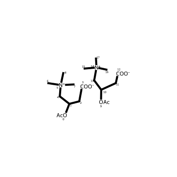 CC(=O)OC(CC(=O)[O-])C[N+](C)(C)C.CC(=O)OC(CC(=O)[O-])C[N+](C)(C)C